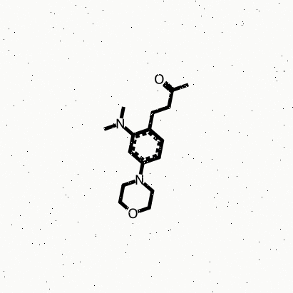 CC(=O)CCc1ccc(N2CCOCC2)cc1N(C)C